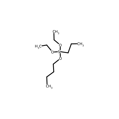 CCCCO[Si](CCC)(OCC)OCC